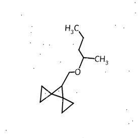 CCCC(C)OCC1C2(CC2)C12CC2